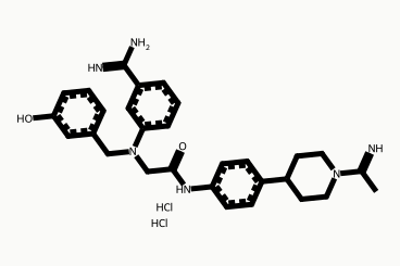 CC(=N)N1CCC(c2ccc(NC(=O)CN(Cc3cccc(O)c3)c3cccc(C(=N)N)c3)cc2)CC1.Cl.Cl